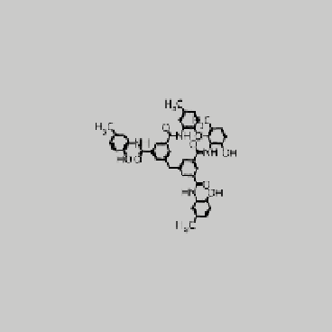 Cc1ccc(O)c(NC(=O)c2cc(Cc3cc(C(=O)Nc4cc(C)ccc4O)cc(C(=O)Nc4cc(C)ccc4O)c3)cc(C(=O)Nc3cc(C)ccc3O)c2)c1